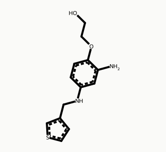 Nc1cc(NCc2ccsc2)ccc1OCCO